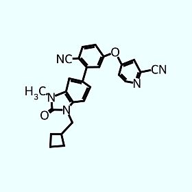 Cn1c(=O)n(CC2CCC2)c2ccc(-c3cc(Oc4ccnc(C#N)c4)ccc3C#N)cc21